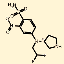 NS(=O)(=O)c1ccc(N(CC(F)F)[C@@H]2CCNC2)cc1[N+](=O)[O-]